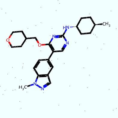 Cn1ncc2cc(-c3cnc(N[C@H]4CC[C@H](C)CC4)nc3OCC3CCOCC3)ccc21